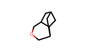 C1OCC2CC3CC1C2C3